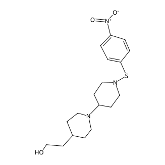 O=[N+]([O-])c1ccc(SN2CCC(N3CCC(CCO)CC3)CC2)cc1